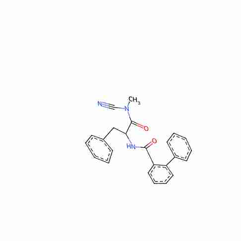 CN(C#N)C(=O)C(Cc1ccccc1)NC(=O)c1ccccc1-c1ccccc1